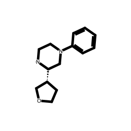 c1ccc(N2CC[N]C([C@@H]3CCOC3)C2)cc1